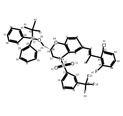 CC(=Cc1ccc2c(c1)N(S(=O)(=O)c1cccc(C(F)(F)F)c1)C[C@H](CO[Si](c1ccccc1)(c1ccccc1)C(C)(C)C)O2)c1c(F)cccc1Cl